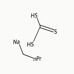 CCC[CH2][Na].S=C(S)S